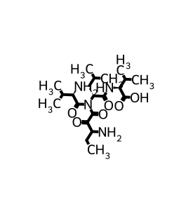 CCC(N)C(=O)C(=O)N(C(=O)[C@@H](N)C(C)C)[C@H](CC(C)C)C(=O)N[C@H](C(=O)O)C(C)C